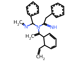 C=CC1C=CC=CC1C(=C)N(C(=N)Cc1ccccc1)C(N=C)c1ccccc1